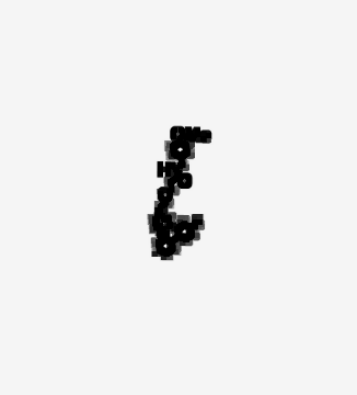 COc1ccc(CNC(=O)CCOCCN2CCN(c3ccccc3-c3ccc(F)cc3)CC2)cc1